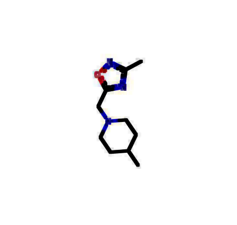 Cc1noc(CN2CCC(C)CC2)n1